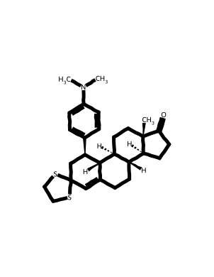 CN(C)c1ccc([C@@H]2CC3(C=C4CC[C@@H]5[C@H](CC[C@]6(C)C(=O)CC[C@@H]56)[C@H]42)SCCS3)cc1